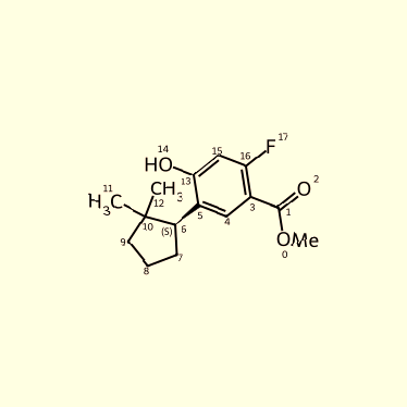 COC(=O)c1cc([C@H]2CCCC2(C)C)c(O)cc1F